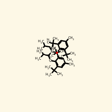 Cc1cc(C(C)(C)C)c(O[CH](C(C)C)[Al]([CH2]C(C)C)[O]c2c(C(C)(C)C)cc(C)cc2C(C)(C)C)c(C(C)(C)C)c1